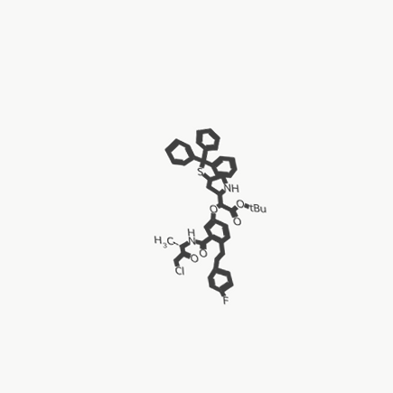 C[C@H](NC(=O)c1cc(OC(C(=O)OC(C)(C)C)C2CC(SC(c3ccccc3)(c3ccccc3)c3ccccc3)CN2)ccc1CCc1ccc(F)cc1)C(=O)CCl